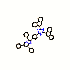 c1ccc(-c2cc(-c3ccccc3)c3nc(-c4ccc(-c5nc(-c6cc7ccccc7c7ccccc67)nc(-c6cc7ccccc7c7ccccc67)n5)cc4)c(-c4ccccc4)n3c2)cc1